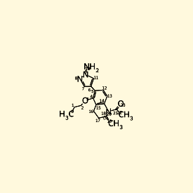 CCCOc1c(-c2cnn(N)c2)ccc2c1CC[C@H](C)N2C(C)=O